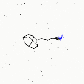 N#CCCC1C2CC3CC(C2)CC1C3